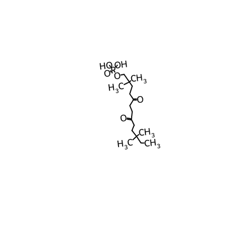 CCC(C)(C)CCC(=O)CCC(=O)CCC(C)(C)COP(=O)(O)O